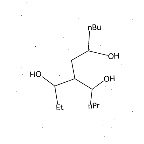 CCCCC(O)CC(C(O)CC)C(O)CCC